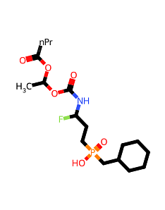 CCCC(=O)OC(C)OC(=O)NC(F)CCP(=O)(O)CC1CCCCC1